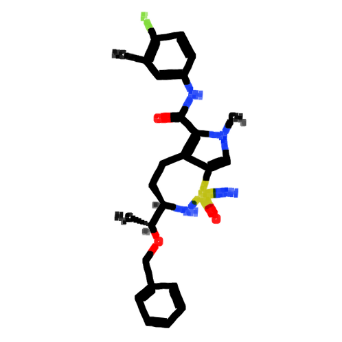 C[C@@H](OCc1ccccc1)[C@H]1CCc2c(cn(C)c2C(=O)Nc2ccc(F)c(C#N)c2)S(=N)(=O)N1